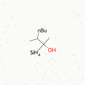 CCCCC(C)C(C)(C)O.[SiH4]